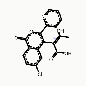 C/C(O)=C(\C(=O)O)c1c(-c2ccccn2)oc(=O)c2ccc(Cl)cc12